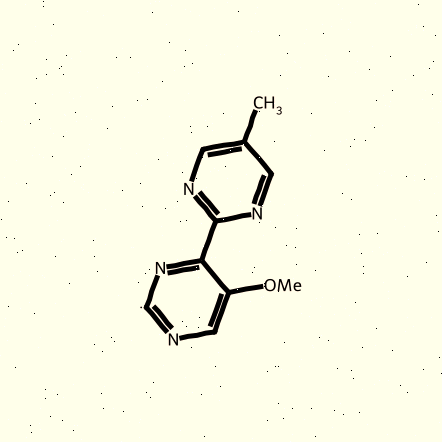 COc1cn[c]nc1-c1ncc(C)cn1